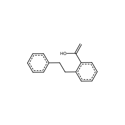 C=C(O)c1ccccc1CCc1ccccc1